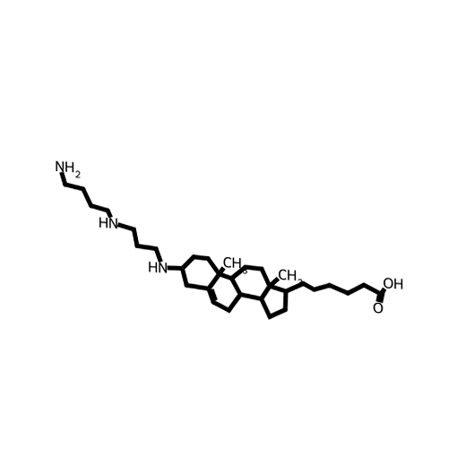 CC12CCC(NCCCNCCCCN)CC1=CCC1C2CCC2(C)C(CCCCCC(=O)O)CCC12